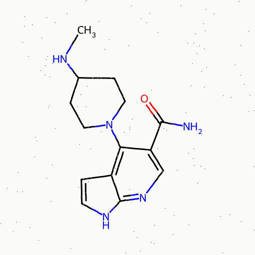 CNC1CCN(c2c(C(N)=O)cnc3[nH]ccc23)CC1